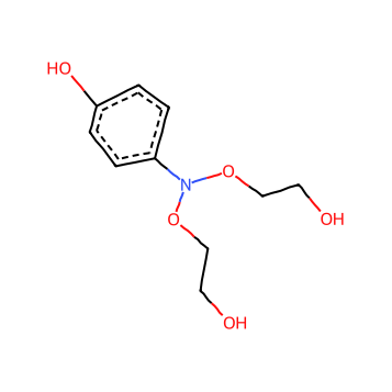 OCCON(OCCO)c1ccc(O)cc1